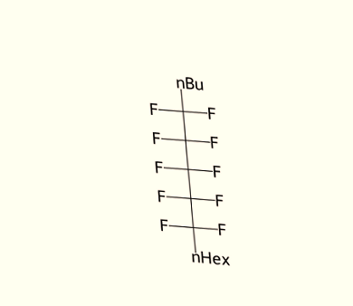 CCCCCCC(F)(F)C(F)(F)C(F)(F)C(F)(F)C(F)(F)CCCC